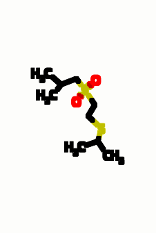 CC(C)CS(=O)(=O)CCSC(C)C